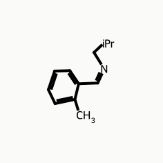 Cc1ccccc1/C=N\CC(C)C